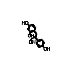 OC[C@@H](Cc1ccc(O)cc1O)c1ccc(O)cc1